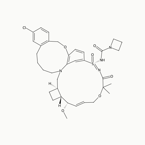 CO[C@H]1/C=C/COC(C)(C)C(=O)N=[S@@](=O)(NC(=O)N2CCC2)c2ccc3c(c2)N(CCCCc2cc(Cl)ccc2CO3)C[C@@H]2CC[C@H]21